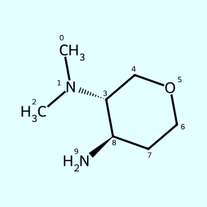 CN(C)[C@@H]1COCC[C@H]1N